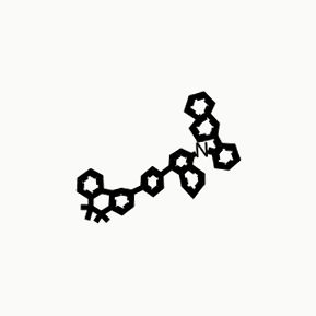 CC1(C)c2ccccc2-c2cc(-c3ccc(-c4ccc(-n5c6ccccc6c6cc7ccccc7cc65)c5ccccc45)cc3)ccc2C1(C)C